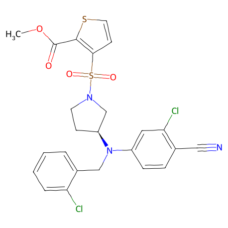 COC(=O)c1sccc1S(=O)(=O)N1CC[C@H](N(Cc2ccccc2Cl)c2ccc(C#N)c(Cl)c2)C1